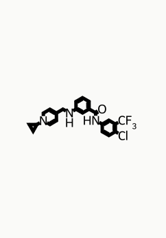 O=C(Nc1ccc(Cl)c(C(F)(F)F)c1)c1cccc(NCC2=CCN(C3CC3)C=C2)c1